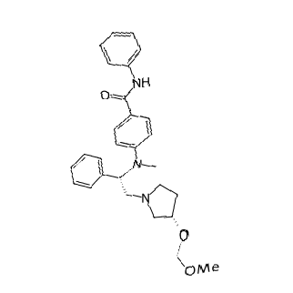 COCO[C@H]1CCN(C[C@H](c2ccccc2)N(C)c2ccc(C(=O)Nc3ccccc3)cc2)C1